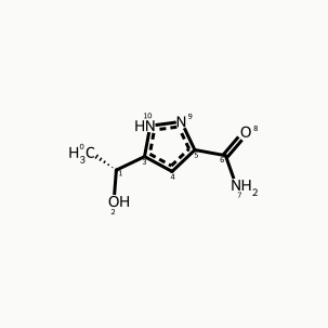 C[C@@H](O)c1cc(C(N)=O)n[nH]1